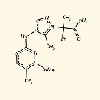 CCC(C)(C(N)=O)n1ncc(Nc2ncc(C(F)(F)F)c(NC)n2)c1C